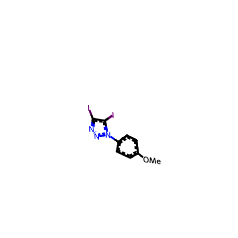 COc1ccc(-n2nnc(I)c2I)cc1